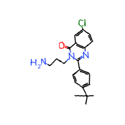 CC(C)(C)c1ccc(-c2nc3ccc(Cl)cc3c(=O)n2CCCN)cc1